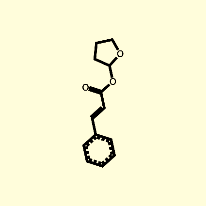 O=C(C=Cc1ccccc1)OC1CCCO1